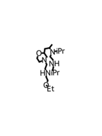 CCOCCNCCN1CCOC(CC(C)N(CCNCC(C)C)C(C)C)C1